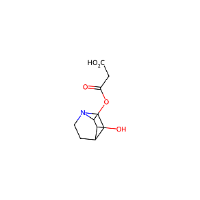 O=C(O)CC(=O)OC1C(O)C2CCN1CC2